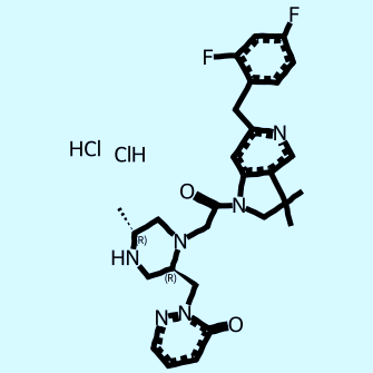 C[C@@H]1CN(CC(=O)N2CC(C)(C)c3cnc(Cc4ccc(F)cc4F)cc32)[C@@H](Cn2ncccc2=O)CN1.Cl.Cl